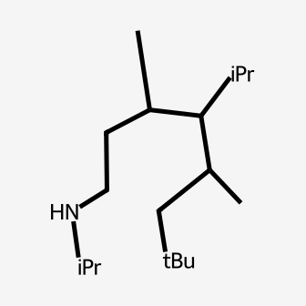 CC(C)NCCC(C)C(C(C)C)C(C)CC(C)(C)C